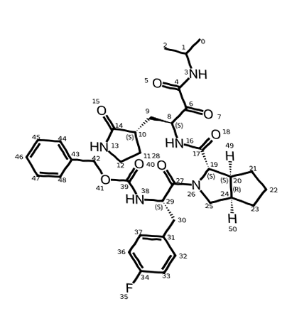 CC(C)NC(=O)C(=O)[C@H](C[C@@H]1CCNC1=O)NC(=O)[C@@H]1[C@H]2CCC[C@H]2CN1C(=O)[C@H](Cc1ccc(F)cc1)NC(=O)OCc1ccccc1